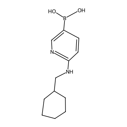 OB(O)c1ccc(NCC2CCCCC2)nc1